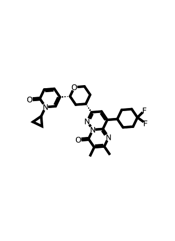 Cc1nc2c(C3CCC(F)(F)CC3)cc([C@H]3CCO[C@@H](c4ccc(=O)n(C5CC5)c4)C3)nn2c(=O)c1C